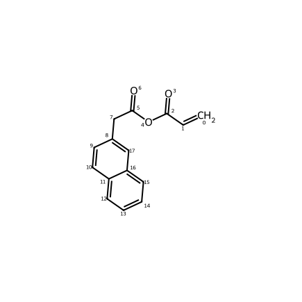 C=CC(=O)OC(=O)Cc1ccc2ccccc2c1